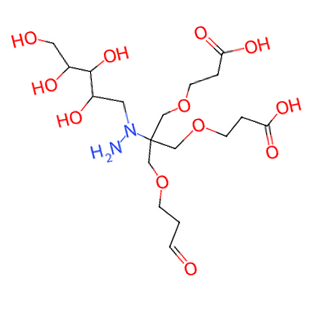 NN(CC(O)C(O)C(O)CO)C(COCCC=O)(COCCC(=O)O)COCCC(=O)O